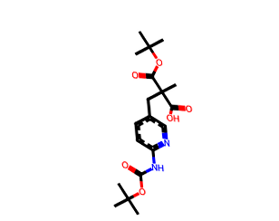 CC(C)(C)OC(=O)Nc1ccc(CC(C)(C(=O)O)C(=O)OC(C)(C)C)cn1